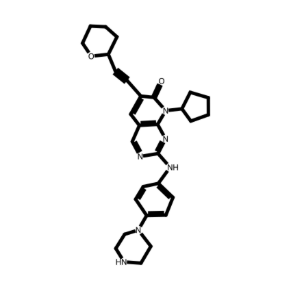 O=c1c(C#CC2CCCCO2)cc2cnc(Nc3ccc(N4CCNCC4)cc3)nc2n1C1CCCC1